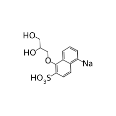 O=S(=O)(O)c1ccc2[c]([Na])cccc2c1OCC(O)CO